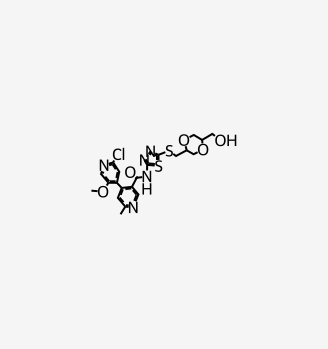 COc1cnc(Cl)cc1-c1cc(C)ncc1C(=O)Nc1nnc(SCC2COC(CO)CO2)s1